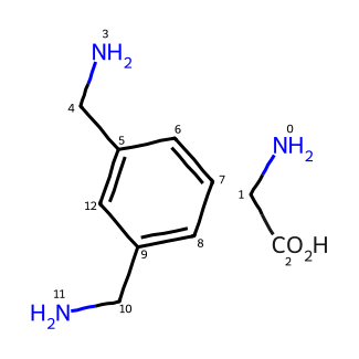 NCC(=O)O.NCc1cccc(CN)c1